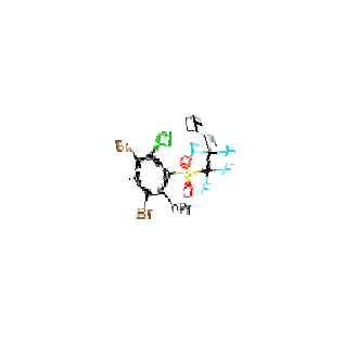 CCCc1c(Br)[c]c(Br)c(Cl)c1S(=O)(=O)C(F)(F)C(F)(F)C(F)(F)F